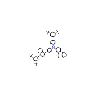 CC(C)(C)c1cc(-c2ccc(N(c3ccc(-c4ccc(-c5cc(C(C)(C)C)cc(C(C)(C)C)c5)c5c4CCCC5)cc3)c3ccc4c(c3)C(C)(C)c3ccccc3-4)cc2)cc(C(C)(C)C)c1